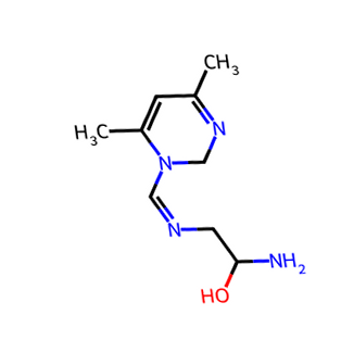 CC1=CC(C)=NCN1/C=N\CC(N)O